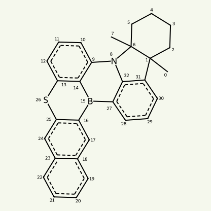 CC12CCCCC1(C)N1c3cccc4c3B(c3cc5ccccc5cc3S4)c3cccc2c31